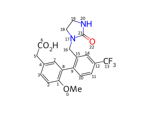 COc1ccc(CC(=O)O)cc1-c1ccc(C(F)(F)F)cc1CN1CCNC1=O